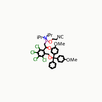 [C-]#[N+]CCOP(CC(=O)c1c(Cl)c(Cl)c(Cl)c(Cl)c1COC(c1ccccc1)(c1ccc(OC)cc1)c1ccc(OC)cc1)N(C(C)C)C(C)C